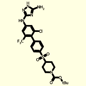 CC(C)(C)OC(=O)N1CCC(S(=O)(=O)c2ccc(-c3c(Cl)cc(Nc4n[nH]c(N)n4)cc3C(F)(F)F)cc2)CC1